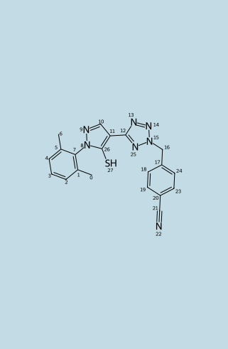 Cc1cccc(C)c1-n1ncc(-c2nnn(Cc3ccc(C#N)cc3)n2)c1S